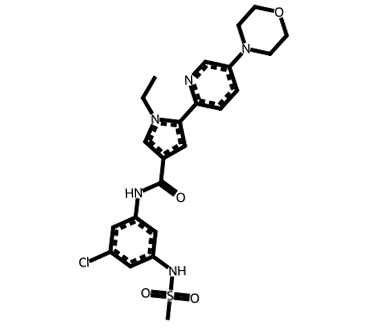 CCn1cc(C(=O)Nc2cc(Cl)cc(NS(C)(=O)=O)c2)cc1-c1ccc(N2CCOCC2)cn1